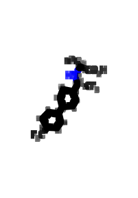 CCC[C@H](N[C@@H](c1ccc(-c2ccc(C(F)(F)F)cc2)cc1)C(F)(F)F)C(=O)O